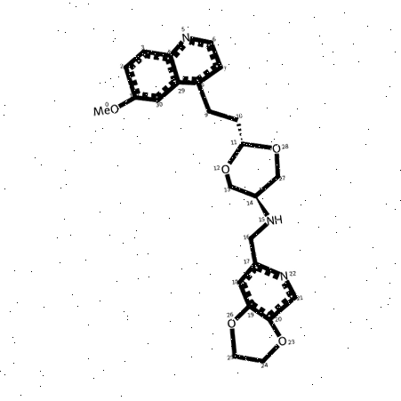 COc1ccc2nccc(CC[C@H]3OC[C@H](NCc4cc5c(cn4)OCCO5)CO3)c2c1